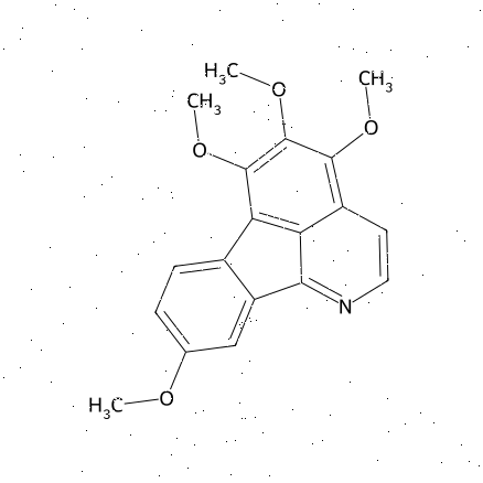 COc1ccc2c(c1)-c1nccc3c(OC)c(OC)c(OC)c-2c13